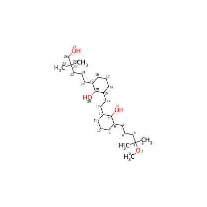 COC(C)(C)CCCC1CCCC(CCC2CCCC(CCCC(C)(C)CO)C2O)C1O